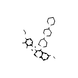 CCOc1ccc(S(=O)(=O)c2cnc3ccc([S+](C)[O-])cc3c2N2CCC(N3CCC(N4CCCCC4)CC3)CC2)c(F)c1F